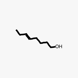 CC/C=C/CCCCO